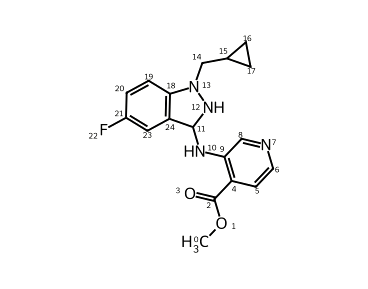 COC(=O)c1ccncc1NC1NN(CC2CC2)c2ccc(F)cc21